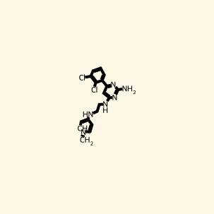 C=N/C=C\C(=C/C)NCCNc1cc(-c2cccc(Cl)c2Cl)nc(N)n1